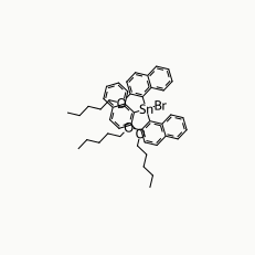 CCCCCOc1ccc2ccccc2[c]1[Sn]([Br])([c]1c(OCCCCC)ccc2ccccc12)[c]1c(OCCCCC)ccc2ccccc12